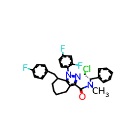 CN(C(=O)c1nn(-c2ccc(F)cc2F)c2c1CCCCC2Cc1ccc(F)cc1)[C@H](CCl)c1ccccc1